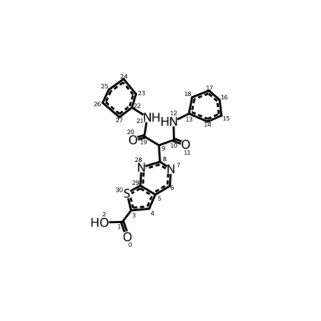 O=C(O)c1cc2cnc(C(C(=O)Nc3ccccc3)C(=O)Nc3ccccc3)nc2s1